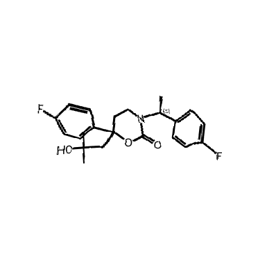 C[C@@H](c1ccc(F)cc1)N1CCC(CC(C)(C)O)(c2ccc(F)cc2)OC1=O